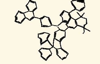 CC1(C)CCC(C)(C)c2cc(-c3cc4c(cc3N(c3ccc(-c5ccccc5)cc3)c3ccc(-c5cc6ccccc6c6ccccc56)cc3)C(c3ccccc3)(c3ccccc3)c3ccccc3-4)ccc21